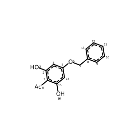 CC(=O)c1c(O)cc(OCc2ccccc2)cc1O